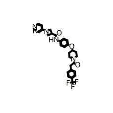 O=C(Nc1ccc(OC2CCN(C(=O)Cc3ccc(C(F)(F)F)cc3)CC2)cc1)C1CN(c2ccnnc2)C1